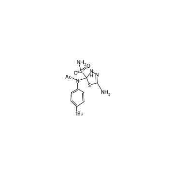 CC(=O)N(c1ccc(C(C)(C)C)cc1)C1(S(N)(=O)=O)NN=C(N)S1